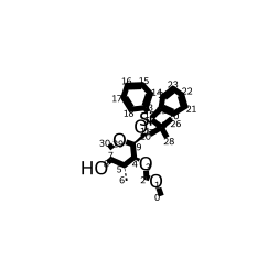 COCO[C@@H]([C@H](C)CO)[C@H](CO[Si](c1ccccc1)(c1ccccc1)C(C)(C)C)OC